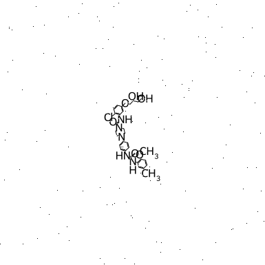 COc1ccc(C)cc1NC(=O)Nc1ccc(N2CCN(C(=O)Nc3cc(OCC(O)CO)ccc3Cl)CC2)cc1